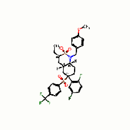 CC[C@@H]1C[C@H]2C[C@@](c3cc(F)ccc3F)(S(=O)(=O)c3ccc(C(F)(F)F)cc3)CC[C@H]2N(Cc2ccc(OC)cc2)S1(=O)=O